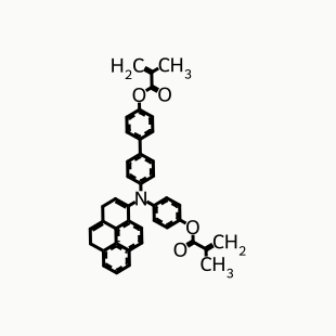 C=C(C)C(=O)Oc1ccc(-c2ccc(N(C3=CCC4=CCc5cccc6ccc3c4c56)c3ccc(OC(=O)C(=C)C)cc3)cc2)cc1